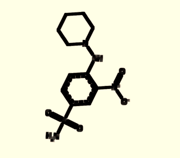 NS(=O)(=O)c1ccc(NN2CCCCC2)c([N+](=O)[O-])c1